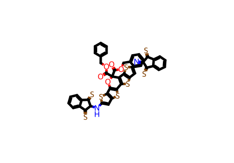 O=C(OCc1ccccc1)C1(C(=O)OCc2ccccc2)Oc2c(sc3cc(NC4C(=S)c5ccccc5C4=S)sc23)-c2sc3cc(N=c4c(=S)c5ccccc5c4=S)sc3c21